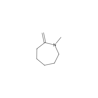 C=C1CCCCCN1C